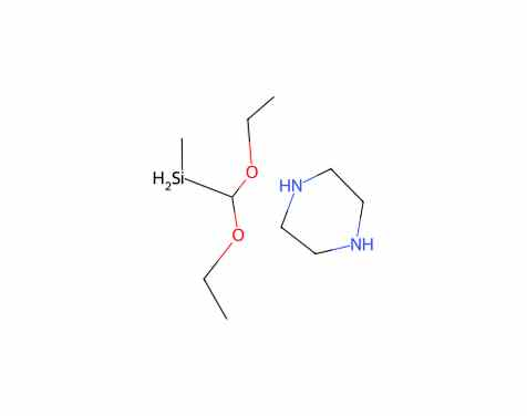 C1CNCCN1.CCOC(OCC)[SiH2]C